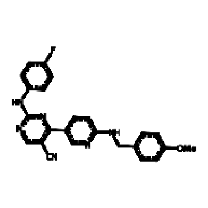 COc1ccc(CNc2ccc(-c3nc(Nc4ccc(F)cc4)ncc3C#N)cn2)cc1